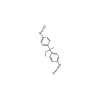 CCC(C)(c1ccc(N=C=O)cc1)c1ccc(N=C=O)cc1